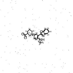 CC(C)(C)Nc1ncc(N2CCCC(C(=O)Cl)C2)cc1-c1nc2ccccc2o1